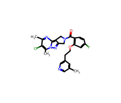 Cc1cncc(CCOc2cc(F)ccc2C(=O)N2Cc3nn4c(C)c(Cl)c(C)nc4c3C2)c1